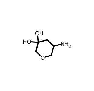 NC1COCC(O)(O)C1